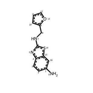 Nc1c[c]c2nc(NCc3ccco3)sc2c1